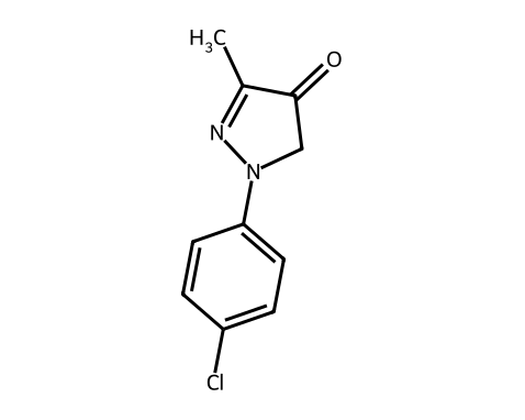 CC1=NN(c2ccc(Cl)cc2)CC1=O